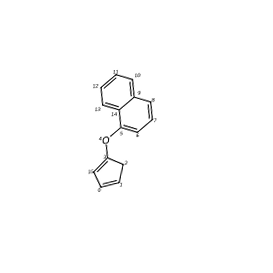 C1=CCC(Oc2cccc3ccccc23)=C1